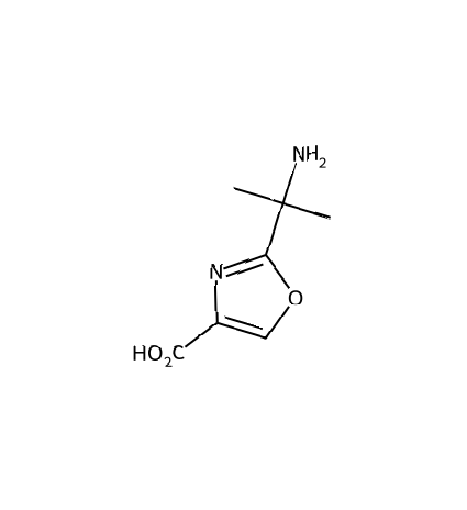 CC(C)(N)c1nc(C(=O)O)co1